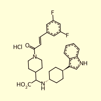 Cl.O=C(O)C(N[C@H]1CC[C@H](c2c[nH]c3ccccc32)CC1)C1CCN(C(=O)C=Cc2cc(F)cc(F)c2)CC1